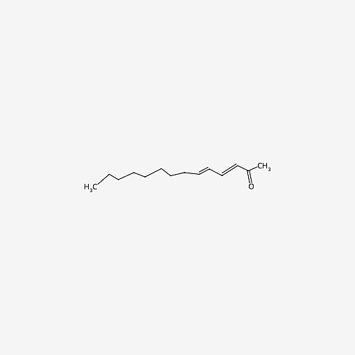 CCCCCCCCC=CC=CC(C)=O